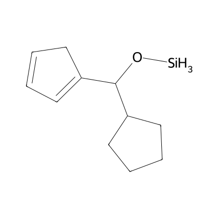 [SiH3]OC(C1=CC=CC1)C1CCCC1